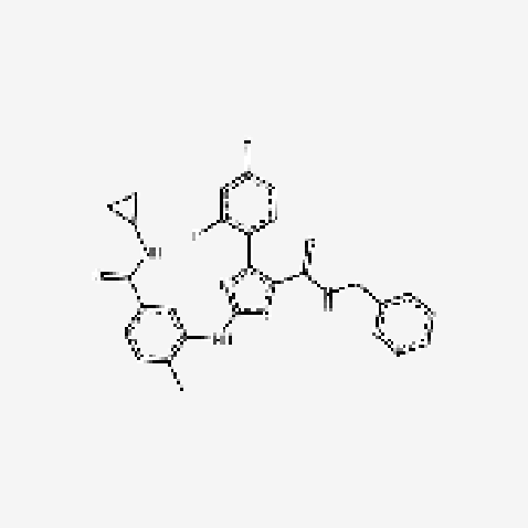 Cc1ccc(C(=O)NC2CC2)cc1Nc1nc(-c2ccc(F)cc2F)c(C(=O)NCc2ccccc2)s1